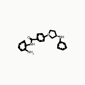 Nc1ccccc1NC(=O)c1ccc(N2CC[C@@H](Nc3ccccc3)C2)cc1